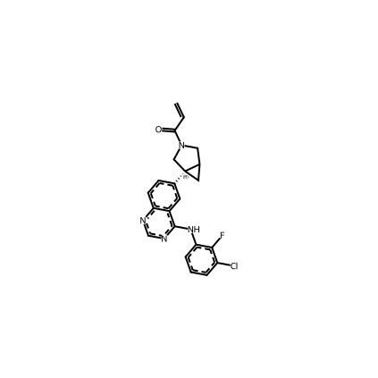 C=CC(=O)N1CC2C[C@@]2(c2ccc3ncnc(Nc4cccc(Cl)c4F)c3c2)C1